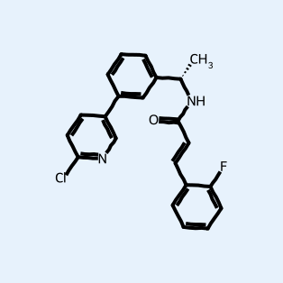 C[C@H](NC(=O)C=Cc1ccccc1F)c1cccc(-c2ccc(Cl)nc2)c1